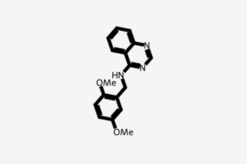 COc1ccc(OC)c(CNc2ncnc3ccccc23)c1